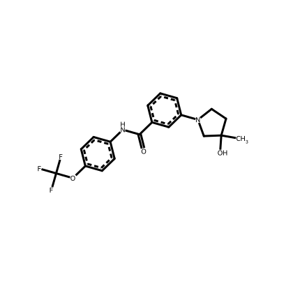 CC1(O)CCN(c2cccc(C(=O)Nc3ccc(OC(F)(F)F)cc3)c2)C1